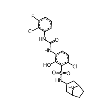 CN1C2CCC1CC(NS(=O)(=O)c1c(Cl)ccc(NC(=O)Nc3cccc(F)c3Cl)c1O)C2